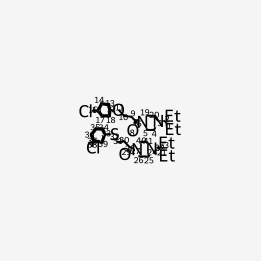 CCC(CC)N1CCN(C(=O)CCOc2ccc(Cl)cc2)CC1.CCC(CC)N1CCN(C(=O)CCSc2cccc(Cl)c2)CC1